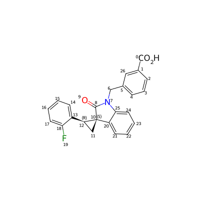 O=C(O)c1cccc(CN2C(=O)[C@]3(C[C@H]3c3ccccc3F)c3ccccc32)c1